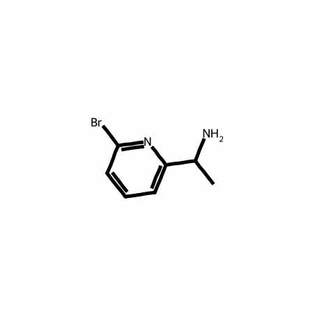 CC(N)c1cccc(Br)n1